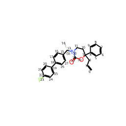 C=CCC1(c2ccccc2)CCN([C@@H](C)c2ccc(-c3ccc(F)cc3)cc2)C(=O)O1